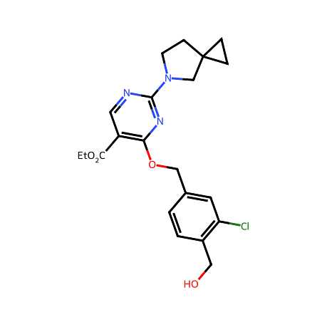 CCOC(=O)c1cnc(N2CCC3(CC3)C2)nc1OCc1ccc(CO)c(Cl)c1